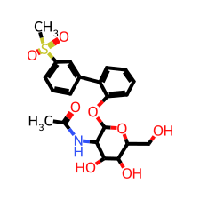 CC(=O)NC1C(Oc2ccccc2-c2cccc(S(C)(=O)=O)c2)OC(CO)C(O)C1O